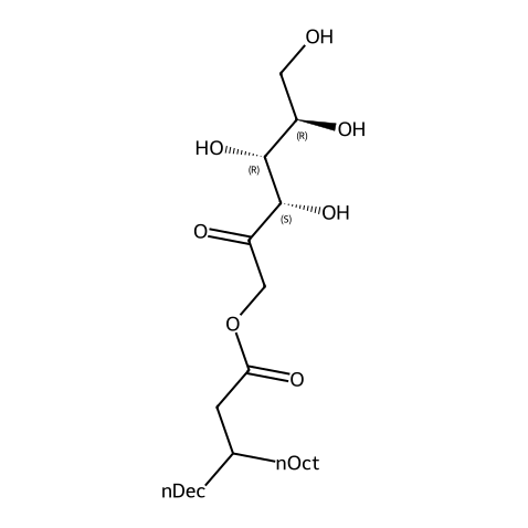 CCCCCCCCCCC(CCCCCCCC)CC(=O)OCC(=O)[C@@H](O)[C@H](O)[C@H](O)CO